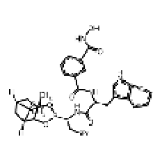 CC(C)C[C@H](NC(=O)[C@H](Cc1c[nH]c2ccccc12)NC(=O)c1cccc(C(=O)NO)c1)B1OC2[C@@H]3C[C@H](C[C@]2(C)O1)C3(C)C